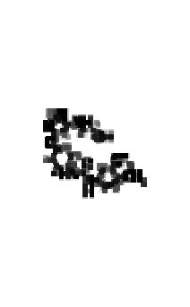 Cc1ccc(NC(=O)N[C@H]2CC[C@H](Oc3cc(NCCO)ncn3)CC2)cc1C(F)(F)F